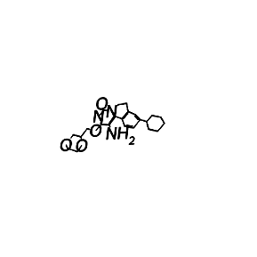 Nc1c(OCC2COCCO2)nc(=O)n2c1-c1ccc(C3CCCCC3)cc1CC2